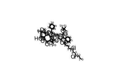 CCCN(Cl)CCN(Cl)CCCC(=O)O[C@@H](C(=O)O[C@H]1C[C@@]2(O)[C@@H](OC(=O)c3ccccc3)C3[C@@H]4CO[C@@H]4C[C@@H](O)[C@@]3(C)C(=O)[C@H](O)C(=C1C)C2(C)C)[C@@H](NC(=O)OC(C)(C)C)c1ccccc1